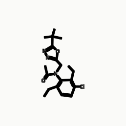 CCc1ccc(Cl)c(CC)c1N(Cc1nnc(C(C)(C)C)o1)C(C)=O